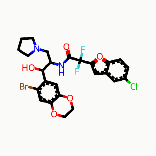 O=C(NC(CN1CCCC1)C(O)c1cc2c(cc1Br)OCCO2)C(F)(F)c1cc2cc(Cl)ccc2o1